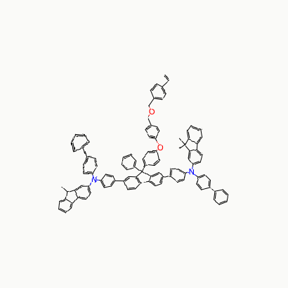 C=Cc1ccc(COCc2ccc(Oc3ccc(C4(c5ccccc5)c5cc(-c6ccc(N(c7ccc(-c8ccccc8)cc7)c7ccc8c(c7)C(C)c7ccccc7-8)cc6)ccc5-c5ccc(-c6ccc(N(c7ccc(-c8ccccc8)cc7)c7ccc8c(c7)C(C)(C)c7ccccc7-8)cc6)cc54)cc3)cc2)cc1